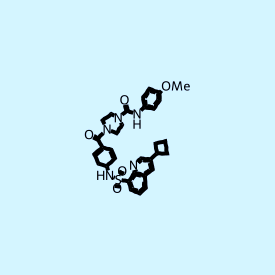 COc1ccc(NC(=O)N2CCN(C(=O)C3=CCC(NS(=O)(=O)c4cccc5cc(C6CCC6)cnc45)C=C3)CC2)cc1